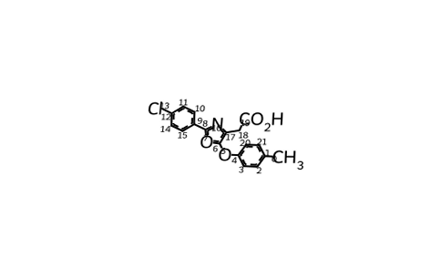 Cc1ccc(Oc2oc(-c3ccc(Cl)cc3)nc2CC(=O)O)cc1